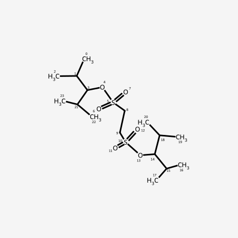 CC(C)C(OS(=O)(=O)CCS(=O)(=O)OC(C(C)C)C(C)C)C(C)C